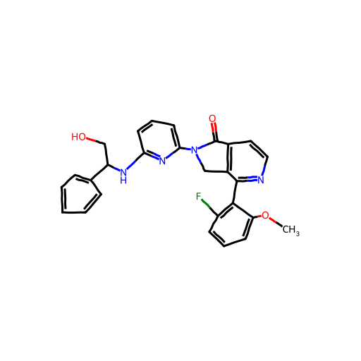 COc1cccc(F)c1-c1nccc2c1CN(c1cccc(NC(CO)c3ccccc3)n1)C2=O